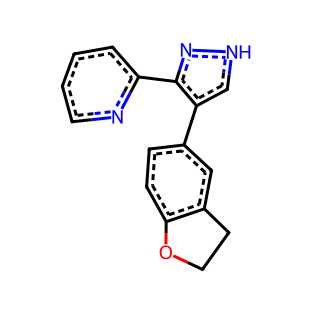 c1ccc(-c2n[nH]cc2-c2ccc3c(c2)CCO3)nc1